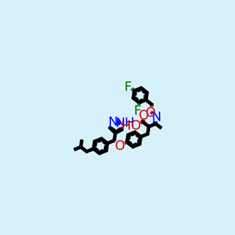 CC(=NOCc1ccc(F)cc1F)C(Cc1ccc(OC(c2ccc(CC(C)C)cc2)c2cn[nH]c2)cc1)C(=O)O